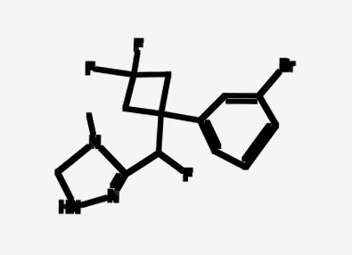 CN1CNN=C1C(F)C1(c2cccc(Br)c2)CC(F)(F)C1